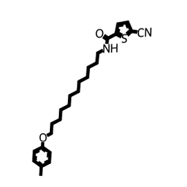 Cc1ccc(OCCCCCCCCCCCCNC(=O)c2ccc(C#N)s2)cc1